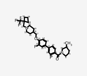 CC1CCCN(C(=O)c2ccc(-c3ccc(OCC4CCN(CC5(C(F)(F)F)CCC5)CC4)c(F)c3)cc2F)C1